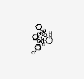 O=C1NCCCCC1N(C(CS(=O)(=O)c1ccccc1)c1ccccc1)S(=O)(=O)c1ccc(Cl)cc1